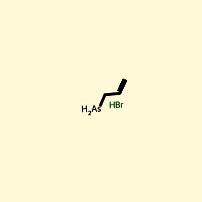 Br.C=CC[AsH2]